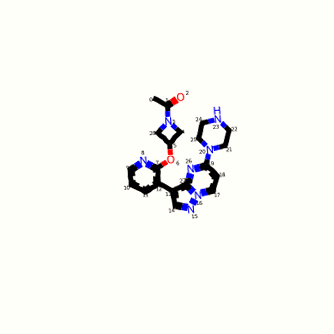 CC(=O)N1CC(Oc2ncccc2-c2cnn3ccc(N4CCNCC4)nc23)C1